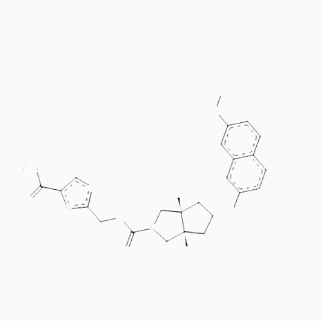 CCOc1ccc2ccc(O[C@@H]3C[C@@H]4CN(C(=O)OCc5nc(C(=O)NC)co5)C[C@@H]4C3)cc2c1